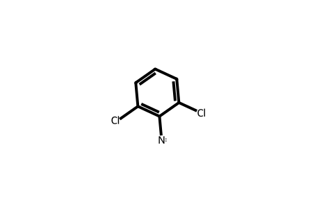 [N]c1c(Cl)cccc1Cl